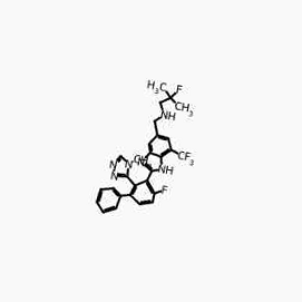 Cn1cnnc1-c1c(-c2ccccc2)ccc(F)c1-c1nc2cc(CNCC(C)(C)F)cc(C(F)(F)F)c2[nH]1